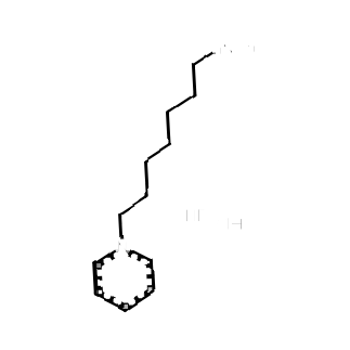 CCCCCCCCCCCCCCCC[n+]1ccccc1.Cl.F